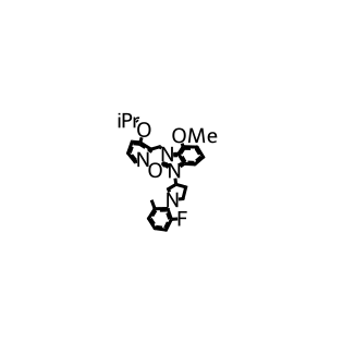 COc1cccc2c1n(Cc1ncccc1OC(C)C)c(=O)n2C1CCN(c2c(C)cccc2F)C1